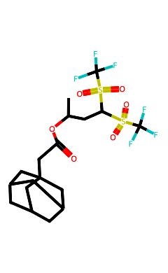 CC(CC(S(=O)(=O)C(F)(F)F)S(=O)(=O)C(F)(F)F)OC(=O)CC12CC3CC(CC(C3)C1)C2